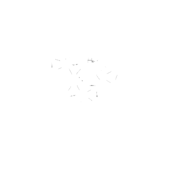 C[C@H]1C2CC3CC(C2)C2(C4=C(C=CC(N(c5ccc6oc7ccccc7c6c5)c5cccc6c5-c5ccccc5C65CCCCC5)C4)c4ccccc42)C1C3